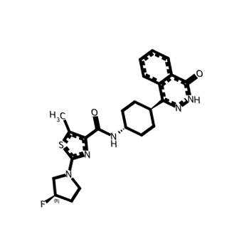 Cc1sc(N2CC[C@@H](F)C2)nc1C(=O)N[C@H]1CC[C@H](c2n[nH]c(=O)c3ccccc32)CC1